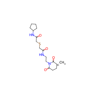 C[C@@H]1CCC(=O)N(CCNC(=O)CSCC(=O)NC2CCCC2)C1=O